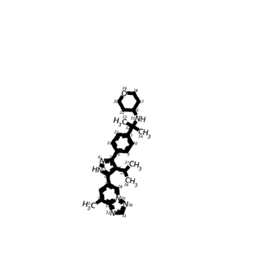 Cc1cc(-c2[nH]nc(-c3ccc(C(C)(C)NC4CCOCC4)cc3)c2C(C)C)cn2ncnc12